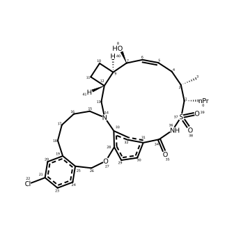 CCC[C@H]1[C@@H](C)C/C=C\[C@H](O)[C@@H]2CC[C@H]2CN2CCCCc3cc(Cl)ccc3COc3ccc(cc32)C(=O)NS1(=O)=O